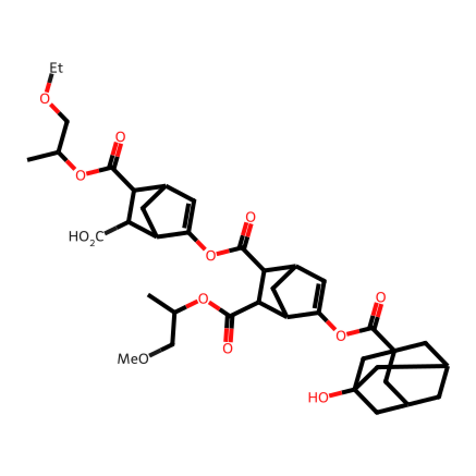 CCOCC(C)OC(=O)C1C2C=C(OC(=O)C3C4C=C(OC(=O)C56CC7CC(CC(O)(C7)C5)C6)C(C4)C3C(=O)OC(C)COC)C(C2)C1C(=O)O